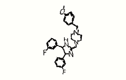 COc1ccc(CN2CCN(CC3=NC(c4cccc(F)c4)C(c4cccc(F)c4)N3)CC2)cc1